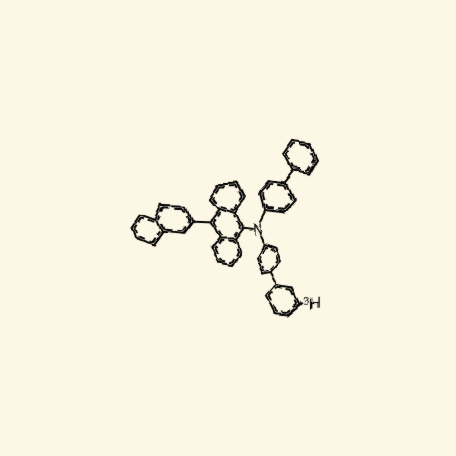 [3H]c1cccc(-c2ccc(N(c3ccc(-c4ccccc4)cc3)c3c4ccccc4c(-c4ccc5ccccc5c4)c4ccccc34)cc2)c1